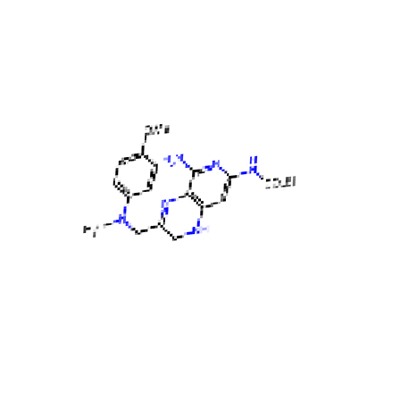 CCOC(=O)Nc1cc2c(c(N)n1)N=C(CN(C)c1ccc(OC)cc1)CN2